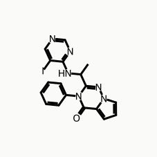 CC(Nc1ncncc1I)c1nn2cccc2c(=O)n1-c1ccccc1